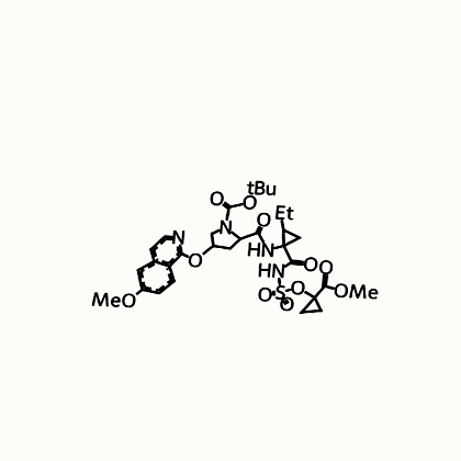 CCC1CC1(NC(=O)C1CC(Oc2nccc3cc(OC)ccc23)CN1C(=O)OC(C)(C)C)C(=O)NS(=O)(=O)OC1(C(=O)OC)CC1